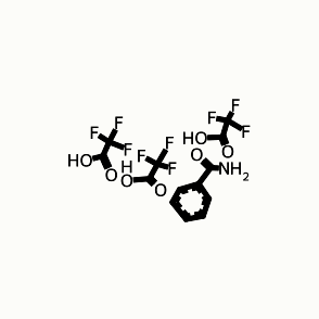 NC(=O)c1ccccc1.O=C(O)C(F)(F)F.O=C(O)C(F)(F)F.O=C(O)C(F)(F)F